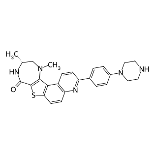 C[C@@H]1CN(C)c2c(sc3ccc4nc(-c5ccc(N6CCNCC6)cc5)ccc4c23)C(=O)N1